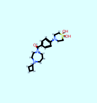 O=C(c1ccc(N2CCS(O)(O)CC2)cc1)N1CCCN(C2CCC2)CC1